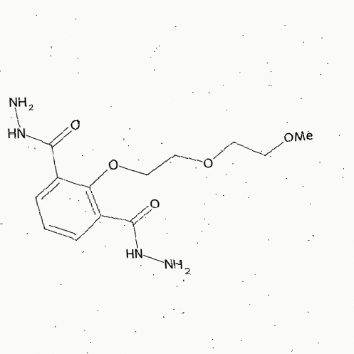 COCCOCCOc1c(C(=O)NN)cccc1C(=O)NN